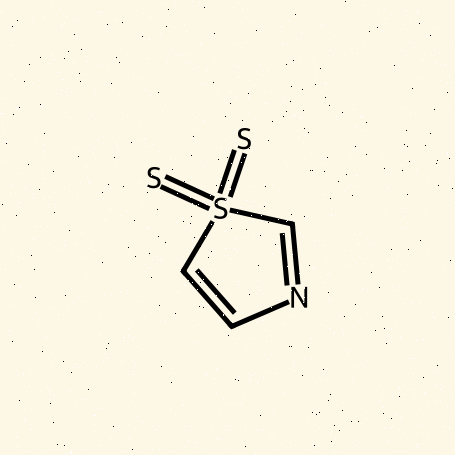 S=S1(=S)C=CN=C1